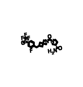 NC(=O)[C@H]1CCN(C(=O)N2CC3(CC(Cc4ccc([S+]([O-])C(F)(F)F)cc4F)C3)C2)C1